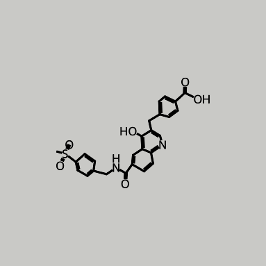 CS(=O)(=O)c1ccc(CNC(=O)c2ccc3ncc(Cc4ccc(C(=O)O)cc4)c(O)c3c2)cc1